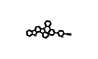 N#Cc1ccc(-c2cccc(-c3ccccc3-n3c4ccccc4c4c5oc6ccccc6c5ccc43)c2)cn1